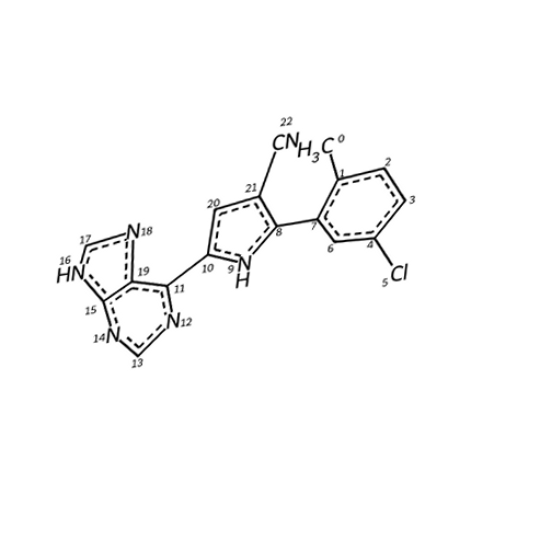 Cc1ccc(Cl)cc1-c1[nH]c(-c2ncnc3[nH]cnc23)cc1C#N